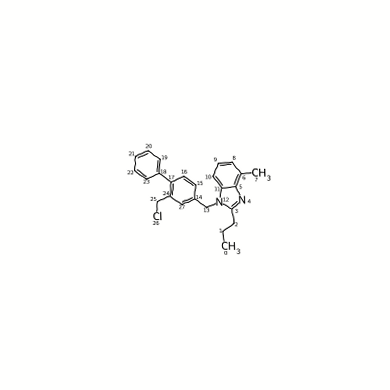 CCCc1nc2c(C)cccc2n1Cc1ccc(-c2ccccc2)c(CCl)c1